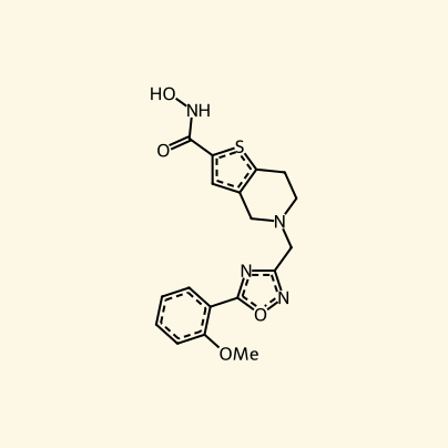 COc1ccccc1-c1nc(CN2CCc3sc(C(=O)NO)cc3C2)no1